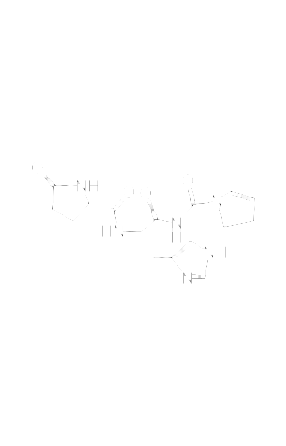 O=C1CC[C@@H](C(=O)N[C@@H](Cc2c[nH]cn2)C(=O)NC(=O)N2C=CCC2)N1